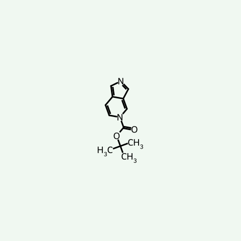 CC(C)(C)OC(=O)n1ccc2cncc-2c1